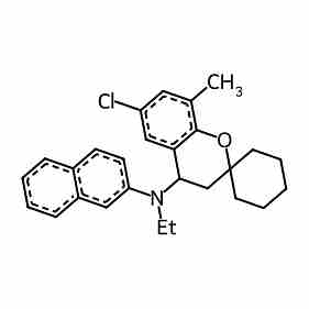 CCN(c1ccc2ccccc2c1)C1CC2(CCCCC2)Oc2c(C)cc(Cl)cc21